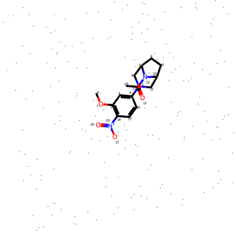 COc1cc(N2CC3CCC(C2)N3C(C)=O)ccc1[N+](=O)[O-]